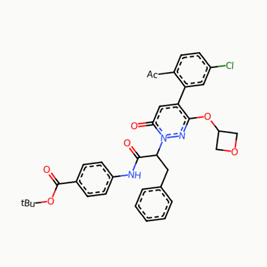 CC(=O)c1ccc(Cl)cc1-c1cc(=O)n(C(Cc2ccccc2)C(=O)Nc2ccc(C(=O)OC(C)(C)C)cc2)nc1OC1COC1